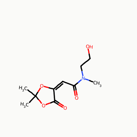 CN(CCO)C(=O)C=C1OC(C)(C)OC1=O